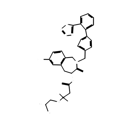 COc1ccc2c(c1)C[C@@H](NC(=O)CC(C)(C)NC[C@@H](C)O)C(=O)N(Cc1ccc(-c3ccccc3-c3nnn[nH]3)cc1)C2